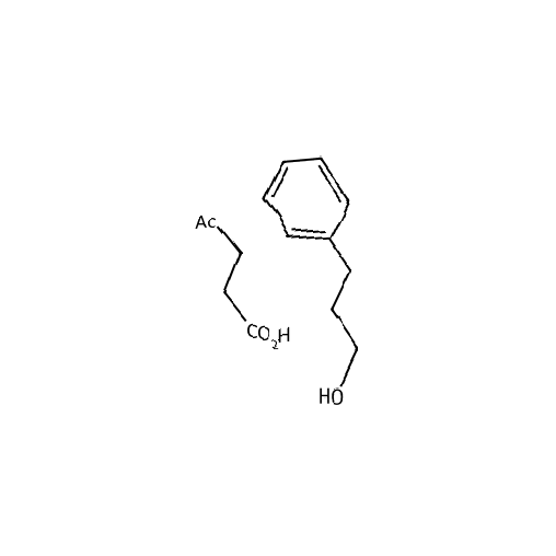 CC(=O)CCC(=O)O.OCCCc1ccccc1